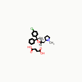 O=C(O)/C=C/C(=O)O.[2H]C([2H])(C[C@H]1CCCN1C)O[C@](C)(c1ccccc1)c1ccc(Cl)cc1